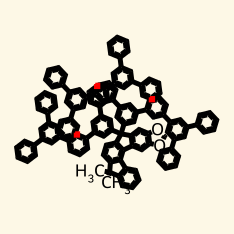 CC1(C)c2ccccc2-c2c1ccc1c2-c2cc3c(cc2C1(c1cc(-c2cccc(-c4cc(-c5ccccc5)cc(-c5ccccc5)c4)c2)cc(-c2cccc(-c4cc(-c5ccccc5)cc(-c5ccccc5)c4)c2)c1)c1cc(-c2cccc(-c4cc(-c5ccccc5)cc(-c5ccccc5)c4)c2)cc(-c2cccc(-c4cc(-c5ccccc5)cc(-c5ccccc5)c4)c2)c1)OCO3